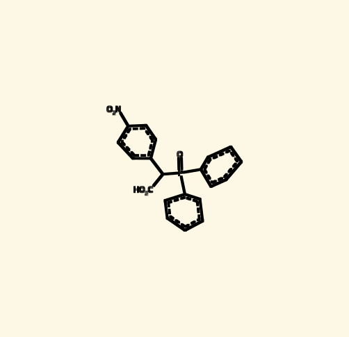 O=C(O)C(c1ccc([N+](=O)[O-])cc1)P(=O)(c1ccccc1)c1ccccc1